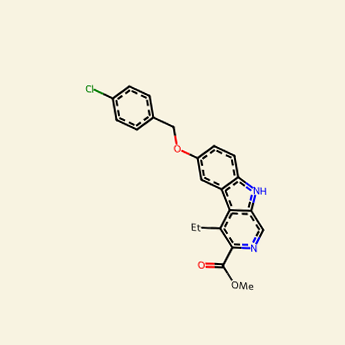 CCc1c(C(=O)OC)ncc2[nH]c3ccc(OCc4ccc(Cl)cc4)cc3c12